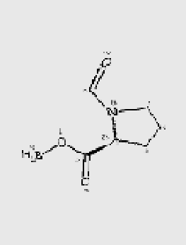 BOC(=O)[C@@H]1CCCN1C=O